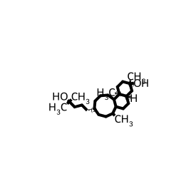 CC1CC[C@H](CCCC(C)(C)O)CCCC2C1CC[C@H]1C[C@@](C)(O)CC[C@]21C